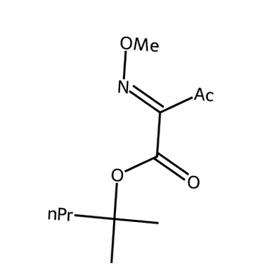 CCCC(C)(C)OC(=O)C(=NOC)C(C)=O